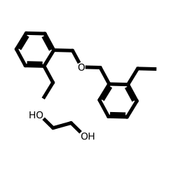 CCc1ccccc1COCc1ccccc1CC.OCCO